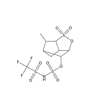 CC1C2CC3C(OS(=O)(=O)C13)C2OS(=O)(=O)NS(=O)(=O)C(F)(F)F